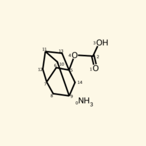 N.O=C(O)OC12CC3CC(CC(C3)C1)C2